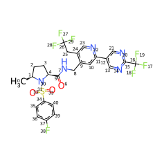 C[C@H]1CC[C@@H](C(=O)NCc2cc(-c3cnc(C(F)(F)F)nc3)ncc2CC(F)(F)F)N1S(=O)(=O)c1ccc(F)cc1